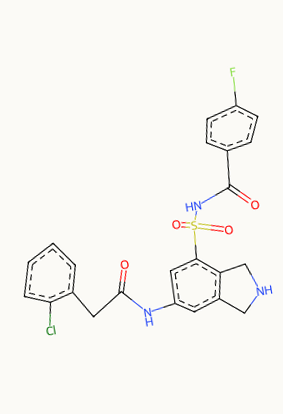 O=C(Cc1ccccc1Cl)Nc1cc2c(c(S(=O)(=O)NC(=O)c3ccc(F)cc3)c1)CNC2